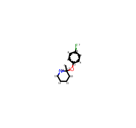 CC1(Oc2ccc(F)cc2)CCCC[N]1